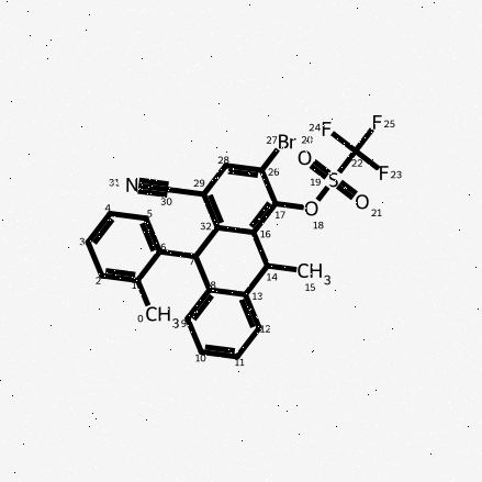 Cc1ccccc1C1c2ccccc2C(C)c2c(OS(=O)(=O)C(F)(F)F)c(Br)cc(C#N)c21